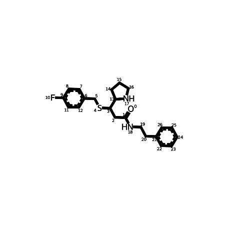 O=C(CC(SCc1ccc(F)cc1)C1CCCN1)NCCc1ccccc1